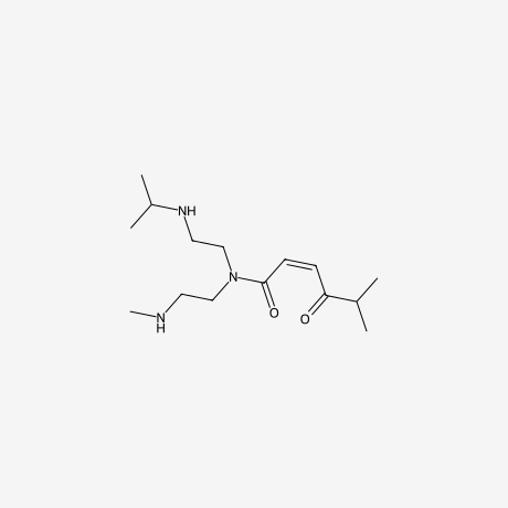 CNCCN(CCNC(C)C)C(=O)/C=C\C(=O)C(C)C